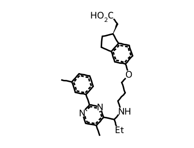 CCC(NCCCOc1ccc2c(c1)CC[C@H]2CC(=O)O)c1nc(-c2cccc(C)c2)ncc1C